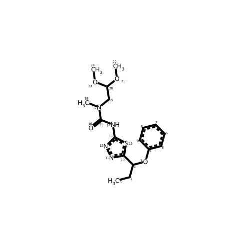 CCC(Oc1ccccc1)c1nnc(NC(=O)N(C)CC(OC)OC)s1